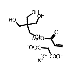 C=CC(=O)OC.O=C([O-])CC(=O)[O-].OCC(CO)(CO)CO.[K+].[K+]